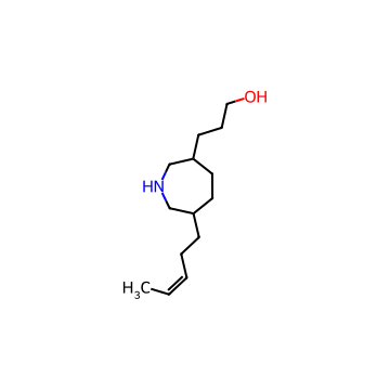 C/C=C\CCC1CCC(CCCO)CNC1